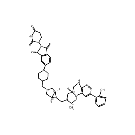 C[C@H]1CN2c3cc(-c4ccccc4O)nnc3NC[C@H]2CN1CC1[C@H]2CN(CC3CCN(c4ccc5c(c4)C(=O)N(C4CCC(=O)NC4=O)C5=O)CC3)C[C@@H]12